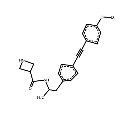 CCOc1ccc(C#Cc2ccc(CC(C)NC(=O)C3CNC3)cc2)cc1